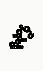 COc1ncccc1-c1ccc(O)c(-c2nc3cc(C(=O)N4CCCN(Cc5ccccn5)CC4)ccc3[nH]2)c1